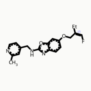 CC/C(=C/F)COc1ccc2nc(NCc3ccnc(C)c3)oc2c1